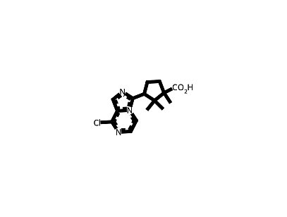 CC1(C(=O)O)CCC(c2ncc3c(Cl)nccn23)C1(C)C